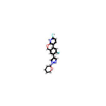 Fc1ccc2c(n1)OCc1cc(-c3cnn(C4CCCCO4)c3)c(F)cc1-2